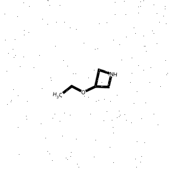 CCOC1CNC1